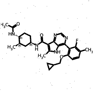 CC(=O)N[C@@H]1CC[C@@H](NC(=O)c2c(C)[nH]c3c(-c4c(OCC5CC5)ccc(C)c4F)ncnc23)C[C@H]1C